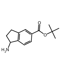 CC(C)(C)OC(=O)c1ccc2c(c1)CCC2N